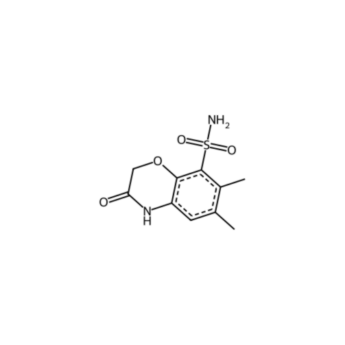 Cc1cc2c(c(S(N)(=O)=O)c1C)OCC(=O)N2